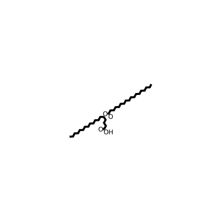 CCCCCCCCCCCCCCCCCC(=O)OC(CCCCCCCCCCCCC)CCCC(=O)O